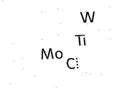 [C].[Mo].[Ti].[W]